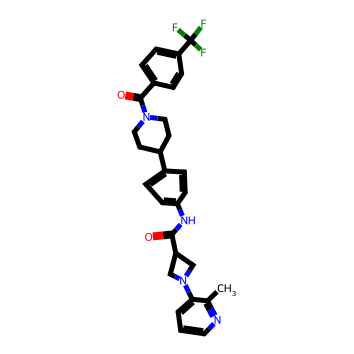 Cc1ncccc1N1CC(C(=O)Nc2ccc(C3CCN(C(=O)c4ccc(C(F)(F)F)cc4)CC3)cc2)C1